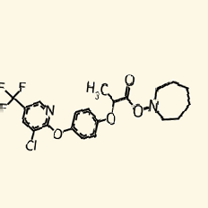 CC(Oc1ccc(Oc2ncc(C(F)(F)F)cc2Cl)cc1)C(=O)ON1CCCCCC1